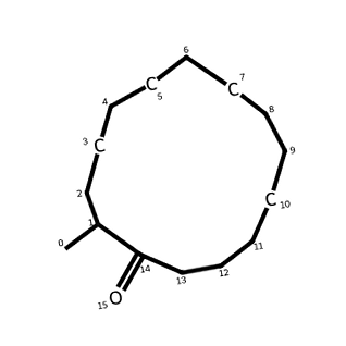 CC1CCCCCCCCCCCCC1=O